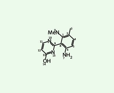 CNc1c(C)ccc(N)c1-c1nccc(O)n1